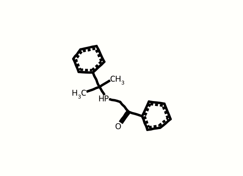 CC(C)(PCC(=O)c1ccccc1)c1ccccc1